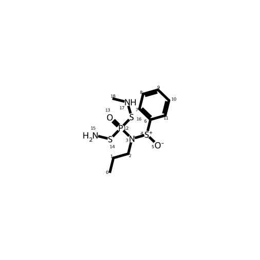 CCCN([S+]([O-])c1ccccc1)P(=O)(SN)SNC